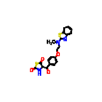 CN(CCOc1ccc(C(=O)C2NC(=O)SC2=O)cc1)c1nc2ccccc2s1